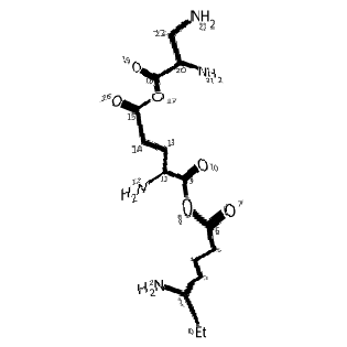 CCC(N)CCCC(=O)OC(=O)[C@@H](N)CCC(=O)OC(=O)C(N)CN